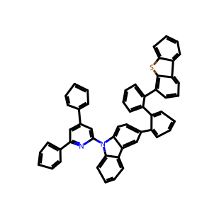 c1ccc(-c2cc(-c3ccccc3)nc(-n3c4ccccc4c4cc(-c5ccccc5-c5ccccc5-c5cccc6c5sc5ccccc56)ccc43)c2)cc1